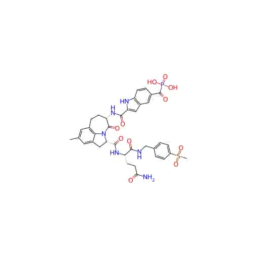 Cc1cc2c3c(c1)C[C@@H](C(=O)N[C@@H](CCC(N)=O)C(=O)NCc1ccc(S(C)(=O)=O)cc1)N3C(=O)[C@@H](NC(=O)c1cc3cc(C(=O)P(=O)(O)O)ccc3[nH]1)CC2